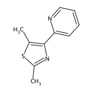 Cc1nc(-c2ccccn2)c(C)s1